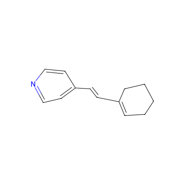 C(=Cc1ccncc1)C1=CCCCC1